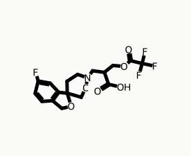 O=C(O)C(COC(=O)C(F)(F)F)CN1CCC2(CC1)OCc1ccc(F)cc12